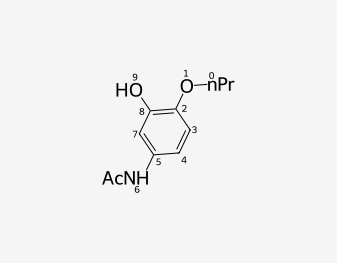 CCCOc1ccc(NC(C)=O)cc1O